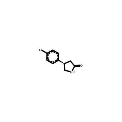 O=C1C[C@H](c2ccc(Cl)cc2)CN1